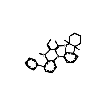 C/C=C1\C2=C(C)N3c4c(cccc4C4(C)CCCCC34C)B2c2cccc(-c3ccccc3)c2N1C